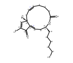 O=C1CCC/C=C\C[C@H]2C=C(F)C(=O)/C2=C/C[C@H](CCCCCF)O1